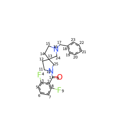 O=C(c1c(F)cccc1F)N1CCC2(CCN(Cc3ccccc3)C2)C1